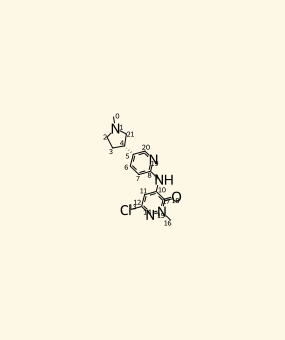 CN1CC[C@@H](c2ccc(Nc3cc(Cl)nn(C)c3=O)nc2)C1